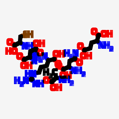 CC(N)C(=O)O.N=C(N)NCCCC(N)C(=O)O.NC(=O)CC(N)C(=O)O.NC(CC(=O)O)C(=O)O.NC(CCC(=O)O)C(=O)O.NC(CS)C(=O)O